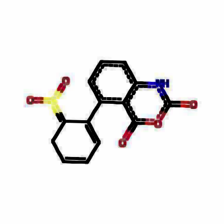 O=c1[nH]c2cccc(C3=CC=CCC3=S(=O)=O)c2c(=O)o1